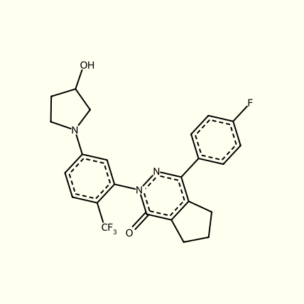 O=c1c2c(c(-c3ccc(F)cc3)nn1-c1cc(N3CCC(O)C3)ccc1C(F)(F)F)CCC2